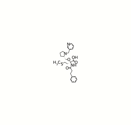 CSCC[C@](NC(=O)CCc1ccccc1)(OC[C@@H]1CCCN1Cc1cccnc1)C(=O)O